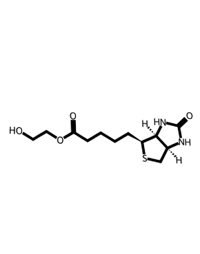 O=C1N[C@H]2[C@H](CS[C@H]2CCCCC(=O)OCCO)N1